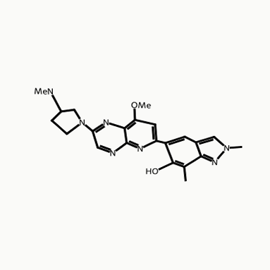 CNC1CCN(c2cnc3nc(-c4cc5cn(C)nc5c(C)c4O)cc(OC)c3n2)C1